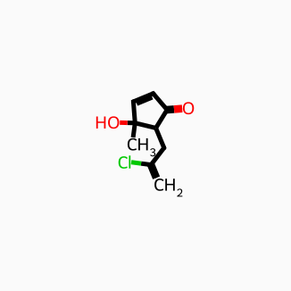 C=C(Cl)CC1C(=O)C=CC1(C)O